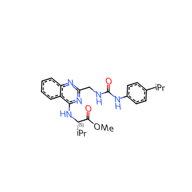 COC(=O)[C@@H](Nc1nc(CNC(=O)Nc2ccc(C(C)C)cc2)nc2ccccc12)C(C)C